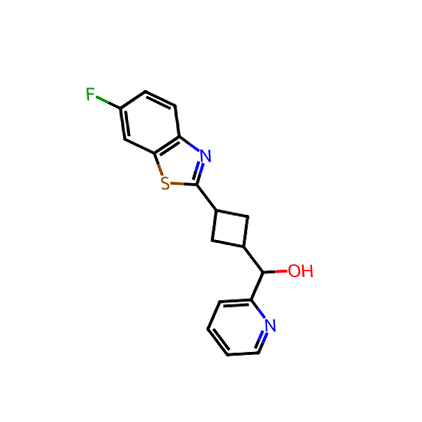 OC(c1ccccn1)C1CC(c2nc3ccc(F)cc3s2)C1